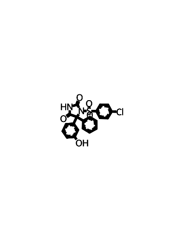 O=C1NC(=O)C(c2ccccc2)(c2cccc(O)c2)N1S(=O)(=O)c1ccc(Cl)cc1